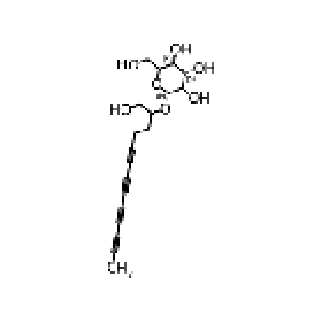 CC#CC#CC#CC#CCCC(CO)O[C@@H]1OC(CO)[C@@H](O)[C@H](O)C1O